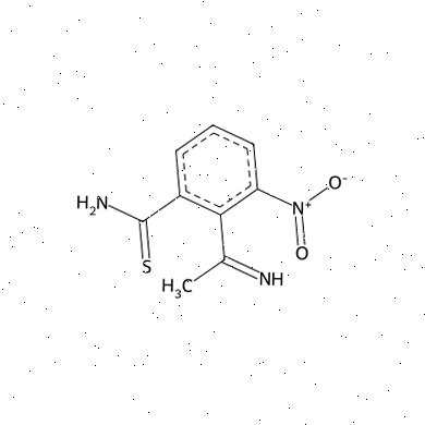 CC(=N)c1c(C(N)=S)cccc1[N+](=O)[O-]